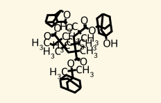 CCC(C)(C(=O)OC1C2CC3C(=O)OC1C3C2)C(C)(C)CC(C)(C(=O)OC(C)(C)C12CC3CC(CC(C3)C1)C2)C(C)(C)CC(C)(C)C(=O)OC12CC3CC(CC(O)(C3)C1)C2